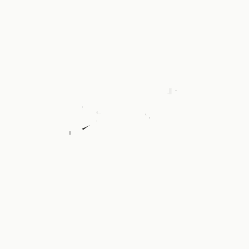 CC(C)N1CCC[C@@](C)(C(C)C)C1